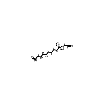 C#CCOC(=O)CCCCCCCCC=C